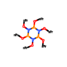 CCCON1P(OCCC)N(OCCC)P(OCCC)N(OCCC)P1OCCC